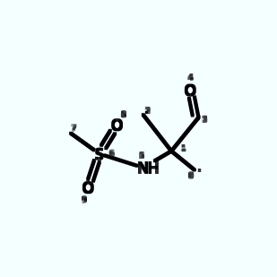 [CH2]C(C)(C=O)NS(C)(=O)=O